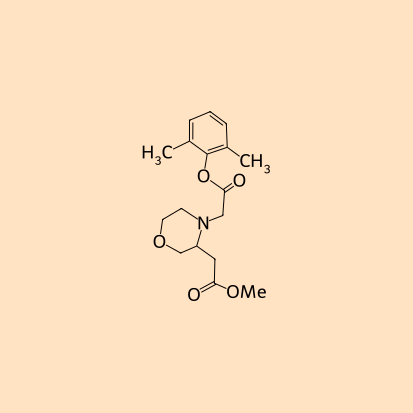 COC(=O)CC1COCCN1CC(=O)Oc1c(C)cccc1C